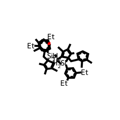 CCc1cc(CC)cc([SiH2]C2(Cc3cccc(C)c3C)C(C)=C(C)C(C)=[C]2[Ti]([CH3])([CH3])[C]2=C(C)C(C)=C(C)C2(Cc2cccc(C)c2C)[SiH2]c2cc(CC)cc(CC)c2)c1